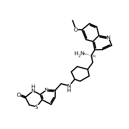 COc1ccc2nccc([C@@H](N)CC3CCC(NCc4ccc5c(n4)NC(=O)CS5)CC3)c2c1